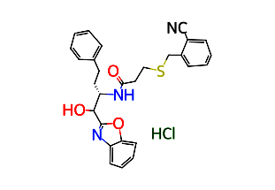 Cl.N#Cc1ccccc1CSCCC(=O)N[C@@H](CCc1ccccc1)C(O)c1nc2ccccc2o1